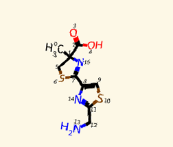 CC1(C(=O)O)CSC(c2csc(CN)n2)=N1